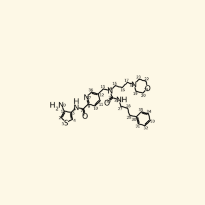 Nc1cscc1NC(=O)c1ccc(CN(CCCN2CCOCC2)C(=O)NCCCc2ccccc2)cn1